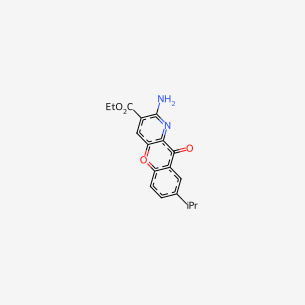 CCOC(=O)c1cc2oc3ccc(C(C)C)cc3c(=O)c2nc1N